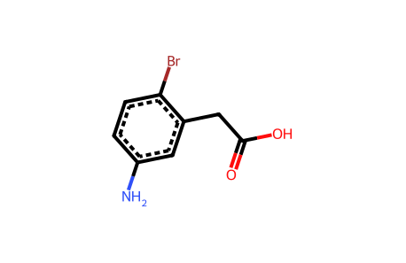 Nc1ccc(Br)c(CC(=O)O)c1